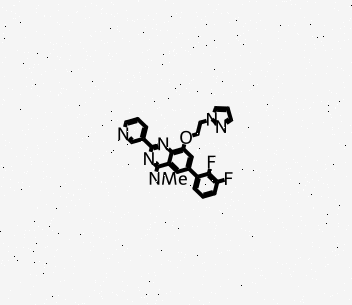 CNc1nc(-c2cccnc2)nc2c(OCCn3cccn3)cc(-c3cccc(F)c3F)cc12